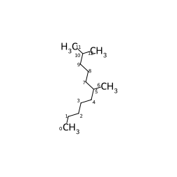 CCCCC[C](C)CCCC(C)C